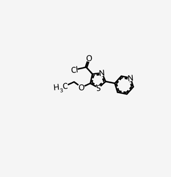 CCOc1sc(-c2cccnc2)nc1C(=O)Cl